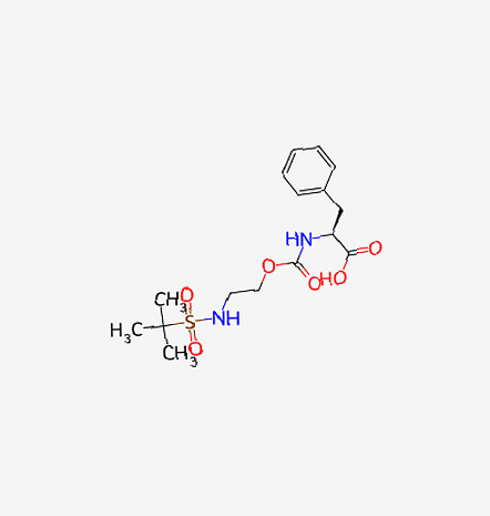 CC(C)(C)S(=O)(=O)NCCOC(=O)N[C@@H](Cc1ccccc1)C(=O)O